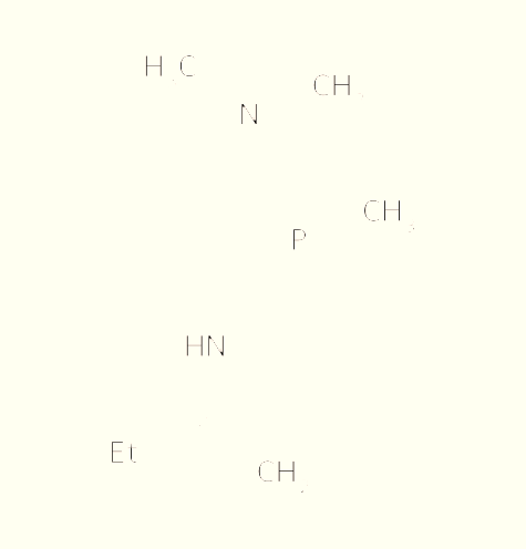 C=C(CC)NCP(C)CN(C)C